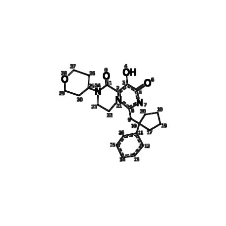 O=C1c2c(O)c(=O)nc(CC3(c4ccccc4)CCCC3)n2CCN1C1CCOCC1